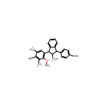 COc1ccc(C2c3ccccc3C(c3cc(C)c(C(C)(C)C)c(C)c3O[SiH3])C2C(=O)O)cc1